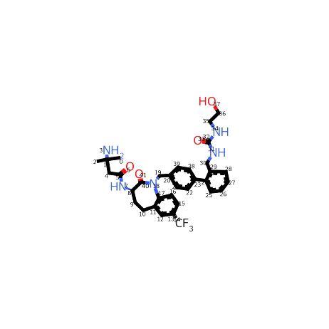 CC(C)(N)CC(=O)N[C@@H]1CCc2cc(C(F)(F)F)ccc2N(Cc2ccc(-c3ccccc3CNC(=O)NCCO)cc2)C1=O